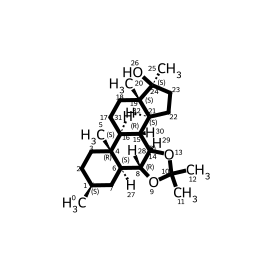 C[C@H]1CC[C@@]2(C)[C@H](C1)[C@H]1OC(C)(C)O[C@@H]1[C@@H]1[C@@H]2CC[C@@]2(C)[C@H]1CC[C@]2(C)O